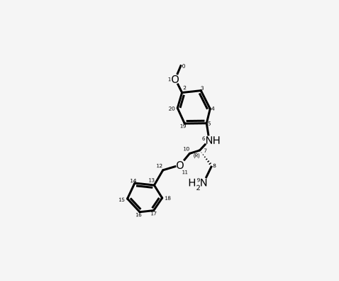 COc1ccc(N[C@H](CN)COCc2ccccc2)cc1